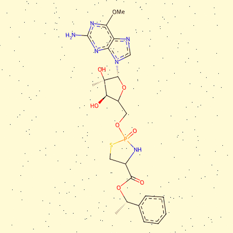 COc1nc(N)nc2c1ncn2[C@@H]1OC(COP2(=O)NC(C(=O)O[C@@H](C)c3ccccc3)CS2)[C@@H](O)[C@@]1(C)O